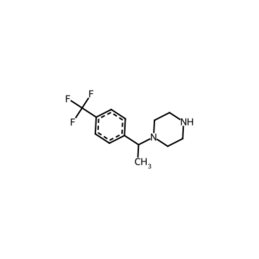 CC(c1ccc(C(F)(F)F)cc1)N1CCNCC1